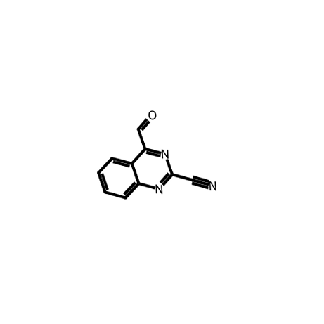 N#Cc1nc(C=O)c2ccccc2n1